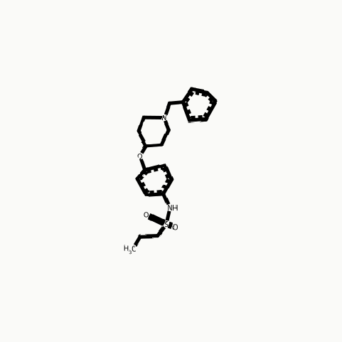 CCCS(=O)(=O)Nc1ccc(OC2CCN(Cc3ccccc3)CC2)cc1